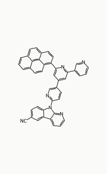 N#Cc1ccc2c(c1)c1cccnc1n2-c1ccc(-c2cc(-c3cccnc3)nc(-c3ccc4ccc5cccc6ccc3c4c56)c2)cn1